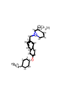 CC(C)(C)[C@H]1CC[C@H](Oc2ccc3cc(CN4CCC[C@H](C(=O)O)C4)ccc3c2)CC1